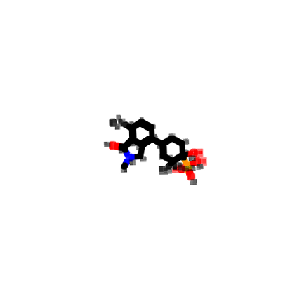 CCC1(CC)C=C(c2ccc([N+](=O)[O-])c3c2CN(C)C3=O)CCC1(O)P(=O)(O)O